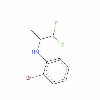 CC(Nc1ccccc1Br)C(F)F